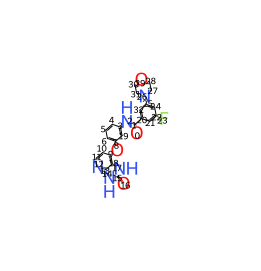 O=C(Nc1cccc(Oc2ccnc3[nH]c(=O)[nH]c23)c1)c1cc(F)cc(N2CCOCC2)c1